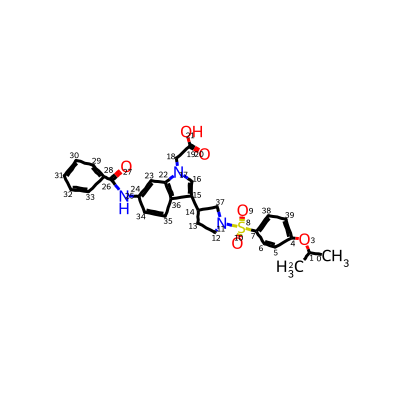 CC(C)Oc1ccc(S(=O)(=O)N2CCC(c3cn(CC(=O)O)c4cc(NC(=O)c5ccccc5)ccc34)C2)cc1